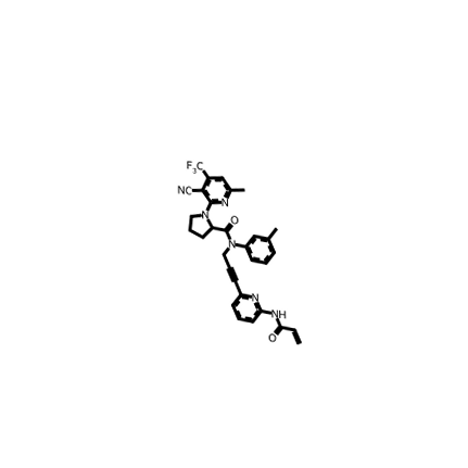 C=CC(=O)Nc1cccc(C#CCN(C(=O)C2CCCN2c2nc(C)cc(C(F)(F)F)c2C#N)c2cccc(C)c2)n1